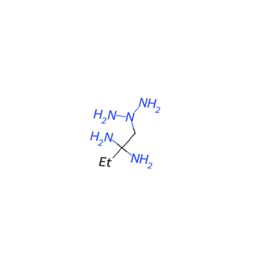 CCC(N)(N)CN(N)N